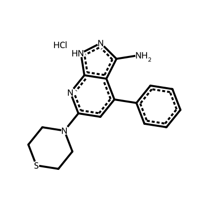 Cl.Nc1n[nH]c2nc(N3CCSCC3)cc(-c3ccccc3)c12